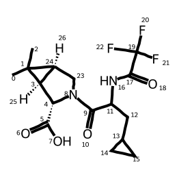 CC1(C)[C@@H]2[C@@H](C(=O)O)N(C(=O)C(CC3CC3)NC(=O)C(F)(F)F)C[C@@H]21